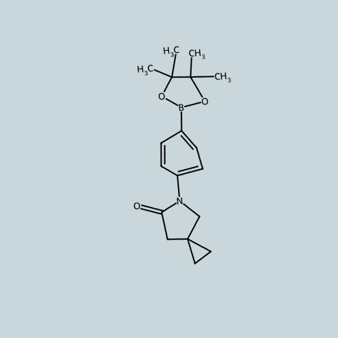 CC1(C)OB(c2ccc(N3CC4(CC4)CC3=O)cc2)OC1(C)C